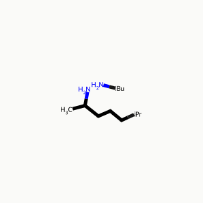 CC(C)CCCC(C)N.CCC(C)N